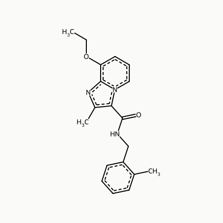 CCOc1cccn2c(C(=O)NCc3ccccc3C)c(C)nc12